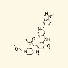 C=CC(=O)Nc1cc(Nc2cc(-c3ccc4c(cnn4C)c3)ncn2)c(OC)cc1N(C)C1CCN(CCOC)CC1